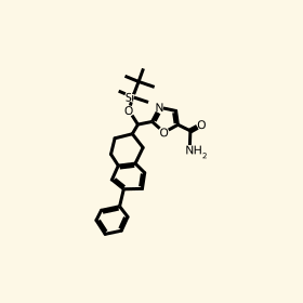 CC(C)(C)[Si](C)(C)OC(c1ncc(C(N)=O)o1)C1CCc2cc(-c3ccccc3)ccc2C1